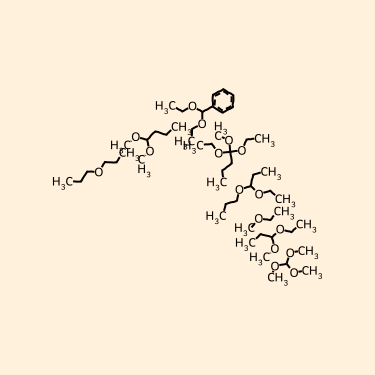 CCCC(OC)(OCC)OCC.CCCC(OC)OC.CCCOC(CC)OCC.CCCOCCC.CCOC.CCOC(CC)OC.CCOC(OCC)c1ccccc1.COC(OC)OC